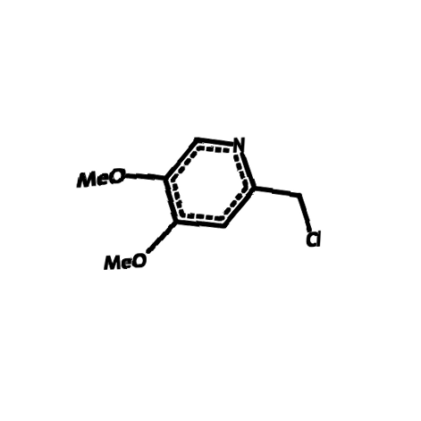 COc1cnc(CCl)cc1OC